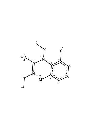 CCN=C(N)N(CC)c1c(Cl)cccc1Cl